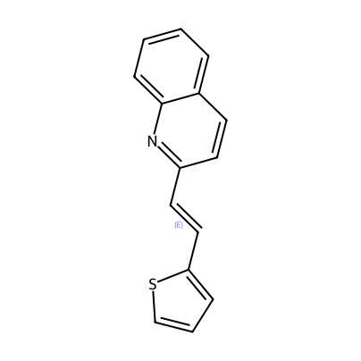 C(=C\c1cccs1)/c1ccc2ccccc2n1